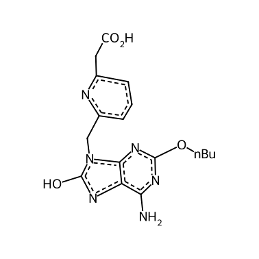 CCCCOc1nc(N)c2nc(O)n(Cc3cccc(CC(=O)O)n3)c2n1